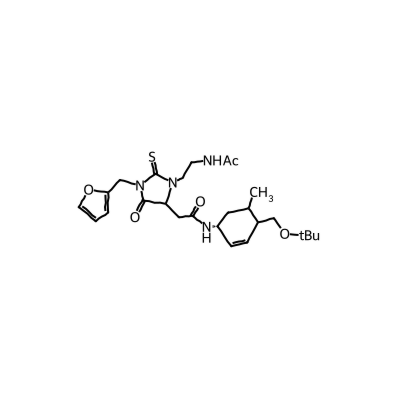 CC(=O)NCCN1C(=S)N(Cc2ccco2)C(=O)C1CC(=O)N[C@H]1C=CC(COC(C)(C)C)C(C)C1